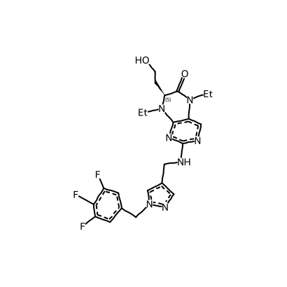 CCN1C(=O)[C@H](CCO)N(CC)c2nc(NCc3cnn(Cc4cc(F)c(F)c(F)c4)c3)ncc21